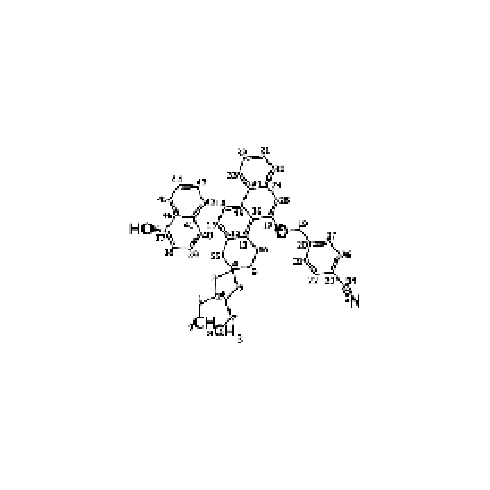 CCCCC1(CCCC)CCc2c(ccc3c2c(OCc2ccc(C#N)cc2)cc2ccccc23)C1.Oc1cccc2ccccc12